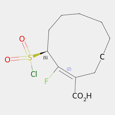 O=C(O)/C1=C(\F)[C@@H](S(=O)(=O)Cl)CCCCCCC1